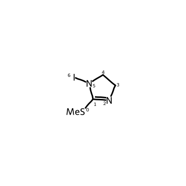 CSC1=NCCN1I